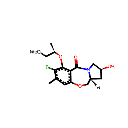 COC[C@@H](C)Oc1c(F)c(C)cc2c1C(=O)N1C[C@@H](O)C[C@@H]1CO2